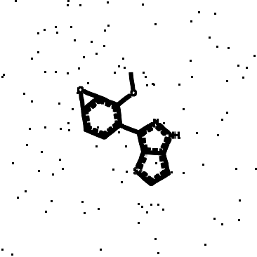 COc1c(-c2n[nH]c3ccsc23)ccc2c1O2